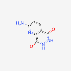 Nc1ccc2c(=O)[nH][nH]c(=O)c2n1